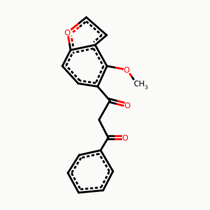 COc1c(C(=O)CC(=O)c2ccccc2)ccc2occc12